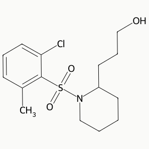 Cc1cccc(Cl)c1S(=O)(=O)N1CCCCC1CCCO